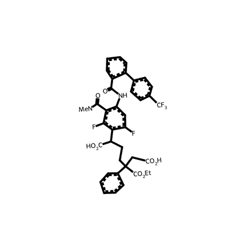 CCOC(=O)C(CCC(C(=O)O)c1c(F)cc(NC(=O)c2ccccc2-c2ccc(C(F)(F)F)cc2)c(C(=O)NC)c1F)(CC(=O)O)c1ccccc1